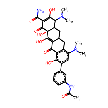 CC(=O)Nc1cccc(-c2cc(N(C)C)c3c(c2O)C(=O)C2=C(O)[C@]4(O)C(=O)C(C(N)=O)=C(O)C(N(C)C)C4CC2C3)c1